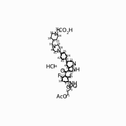 CC(=O)OCCCS(=O)(=O)Nc1ccc(F)c(C(=O)c2c[nH]c3ncc(-c4ccc(N5CCN(CC6CCN(CC(=O)O)CC6)CC5)cc4)cc23)c1F.Cl